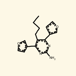 CCCCc1c(-c2ccoc2)nc(N)nc1-c1ccoc1